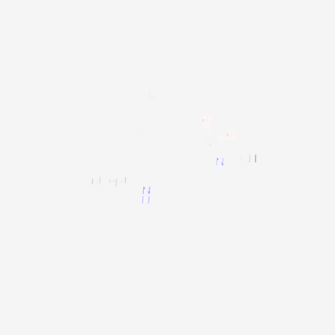 CCCCCCCNC1c2ccccc2N(C)S(=O)(=O)c2cc(Cl)ccc21